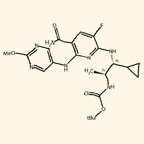 COc1ncc(Nc2nc(N[C@H](C3CC3)[C@H](C)NC(=O)OC(C)(C)C)c(F)cc2C(N)=O)cn1